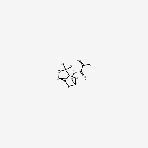 C=C(C)C(=O)OC1C2CC3C1OC(C)(C)C3C2